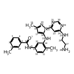 Cc1cccc(C(=O)Nc2ccc(C)c(Nc3cc(C)nn3-c3cc(NCCN)ncn3)c2)c1